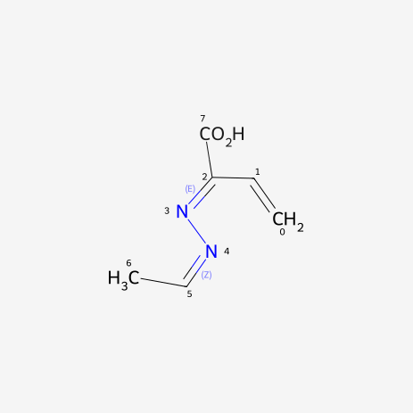 C=C/C(=N\N=C/C)C(=O)O